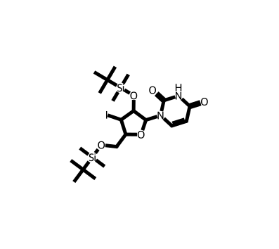 CC(C)(C)[Si](C)(C)OCC1OC(n2ccc(=O)[nH]c2=O)C(O[Si](C)(C)C(C)(C)C)C1I